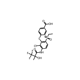 CCS(=O)(=O)c1ccc(NC(=O)C(C)(O)C(F)(F)F)c(Cl)c1Sc1ccc(C(=O)O)cc1